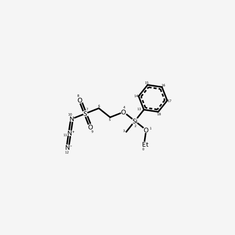 CCO[Si](C)(OCCS(=O)(=O)N=[N+]=[N-])c1ccccc1